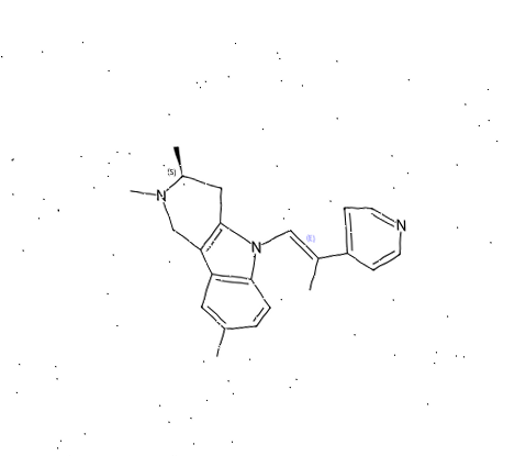 C/C(=C\n1c2c(c3cc(C)ccc31)CN(C)[C@@H](C)C2)c1ccncc1